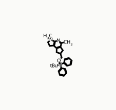 Cc1nc2c(c3c1CC(CO[Si](c1ccccc1)(c1ccccc1)C(C)(C)C)C3)CCN2C